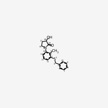 Cc1c(SCc2ccccc2)cccc1N1CCC(O)C1=O